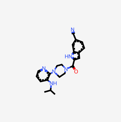 CC(C)Nc1cccnc1N1CCN(C(=O)c2cc3ccc(C#N)cc3[nH]2)CC1